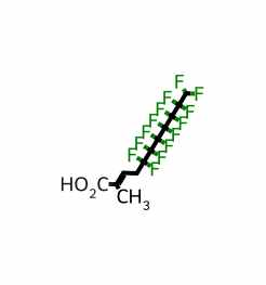 CC(=CCC(F)(F)C(F)(F)C(F)(F)C(F)(F)C(F)(F)C(F)(F)C(F)F)C(=O)O